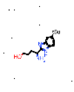 CC(C)(C)c1ccc2[nH]c(C(N)CCCO)nc2c1